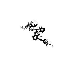 C[C@@H](c1cc2cccc(C#Cc3cnn(C)c3)c2c(=O)n1-c1ccccc1)n1cnc2c(c(N)nn2C)c1=O